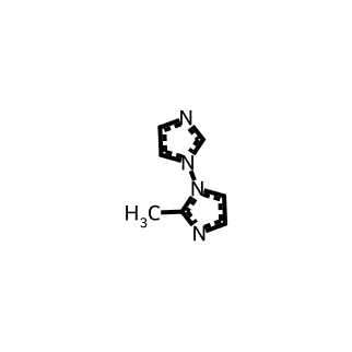 Cc1nccn1-n1ccnc1